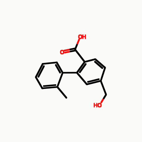 Cc1ccccc1-c1cc(CO)ccc1C(=O)O